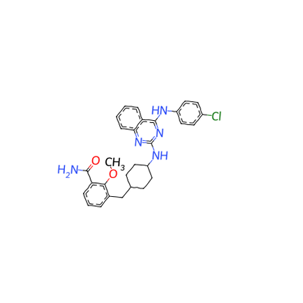 COc1c(CC2CCC(Nc3nc(Nc4ccc(Cl)cc4)c4ccccc4n3)CC2)cccc1C(N)=O